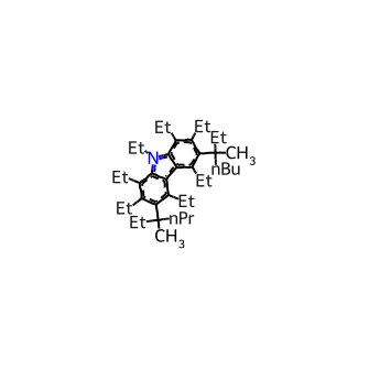 CCCCC(C)(CC)c1c(CC)c(CC)c2c(c1CC)c1c(CC)c(C(C)(CC)CCC)c(CC)c(CC)c1n2CC